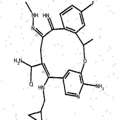 CN/N=C1/C/C(C(N)Cl)=C(/NCC2CC2)c2cnc(N)c(c2)OC(C)c2cc(F)ccc2C1=N